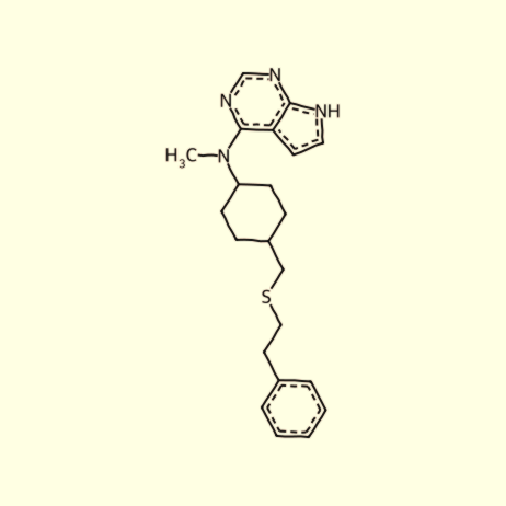 CN(c1ncnc2[nH]ccc12)C1CCC(CSCCc2ccccc2)CC1